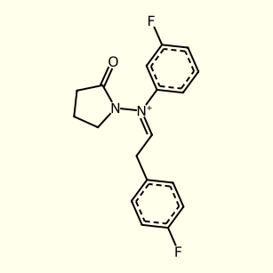 O=C1CCCN1[N+](=CCc1ccc(F)cc1)c1cccc(F)c1